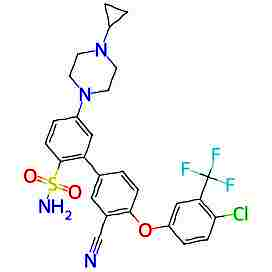 N#Cc1cc(-c2cc(N3CCN(C4CC4)CC3)ccc2S(N)(=O)=O)ccc1Oc1ccc(Cl)c(C(F)(F)F)c1